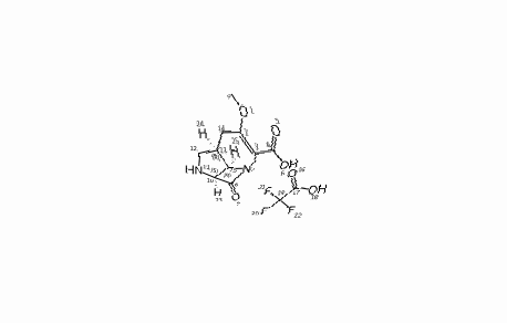 COC1=C(C(=O)O)N2C(=O)[C@H]3NC[C@@H](C1)[C@H]32.O=C(O)C(F)(F)F